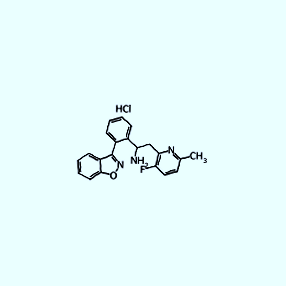 Cc1ccc(F)c(CC(N)c2ccccc2-c2noc3ccccc23)n1.Cl